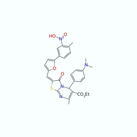 CCOC(=O)C1=C(C)N=c2s/c(=C/c3ccc(-c4ccc(C)c([N+](=O)O)c4)o3)c(=O)n2C1c1ccc(N(C)C)cc1